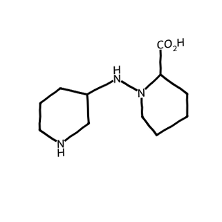 O=C(O)C1CCCCN1NC1CCCNC1